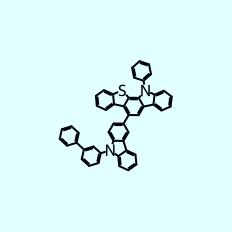 c1ccc(-c2cccc(-n3c4ccccc4c4cc(-c5cc6c7ccccc7n(-c7ccccc7)c6c6sc7ccccc7c56)ccc43)c2)cc1